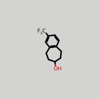 OC1CCc2ccc(C(F)(F)F)cc2CC1